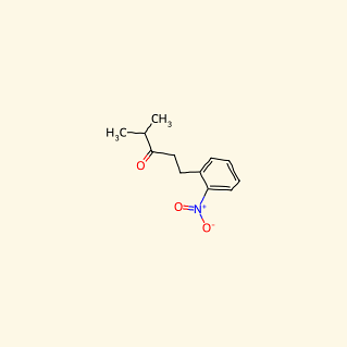 CC(C)C(=O)CCc1ccccc1[N+](=O)[O-]